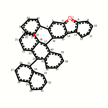 c1ccc(-c2cc3oc4ccccc4c3cc2-c2c3ccccc3c(-c3cccc4ccccc34)c3ccccc23)cc1